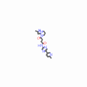 Cc1ccc(-c2cnc(NC(=O)CCC(=O)N3CCCn4nc(C)cc43)cn2)cn1